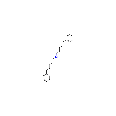 c1ccc(CCCCC[N]CCCCCc2ccccc2)cc1